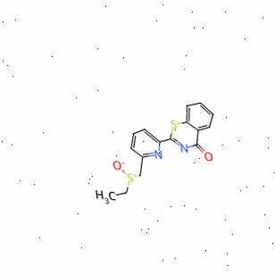 CC[S+]([O-])Cc1cccc(-c2nc(=O)c3ccccc3s2)n1